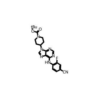 CC(C)(C)OC(=O)N1CCC(n2cnc3c(Nc4ccc(C#N)cc4F)ncnc32)CC1